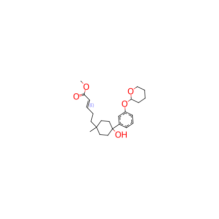 COC(=O)/C=C/CCC1(C)CCC(O)(c2cccc(OC3CCCCO3)c2)CC1